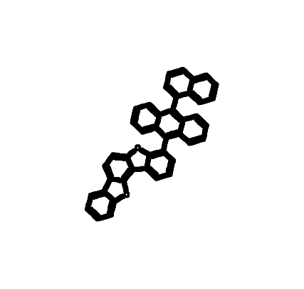 c1ccc2c(-c3c4ccccc4c(-c4cccc5c4oc4ccc6c7ccccc7oc6c45)c4ccccc34)cccc2c1